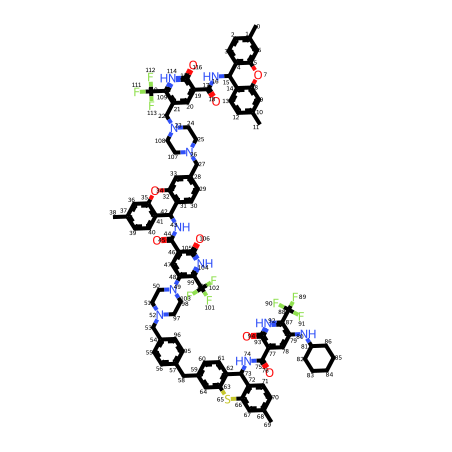 Cc1ccc2c(c1)Oc1cc(C)ccc1C2NC(=O)c1cc(CN2CCN(Cc3ccc4c(c3)Oc3cc(C)ccc3C4NC(=O)c3cc(N4CCN(Cc5ccc(Cc6ccc7c(c6)Sc6cc(C)ccc6C7NC(=O)c6cc(NC7CCCCC7)c(C(F)(F)F)[nH]c6=O)cc5)CC4)c(C(F)(F)F)[nH]c3=O)CC2)c(C(F)(F)F)[nH]c1=O